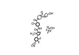 Cn1c(-c2ccc(OCC#N)c(F)c2F)cnc1C(=O)Nc1ccc(C(=O)N2CCN(C(=O)[C@@H]3C[C@@H](O)CN3)CC2)c(Cl)c1.O=C(O)C(F)(F)F